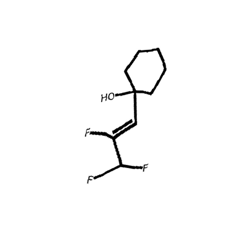 OC1(C=C(F)C(F)F)CCCCC1